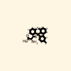 Cc1ccc(C2(SC[C@H](N)C(=O)O)c3ccccc3Sc3ccccc32)cc1